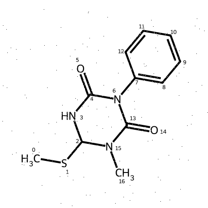 CSC1NC(=O)N(c2ccccc2)C(=O)N1C